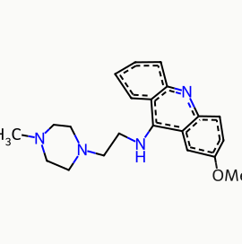 COc1ccc2nc3ccccc3c(NCCN3CCN(C)CC3)c2c1